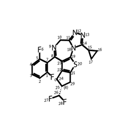 Fc1cccc(F)c1C1=NCc2nnc(C3CC3)n2-c2sc3c(c21)C[C@@H](C(F)F)C3